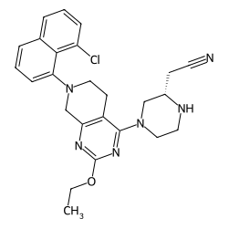 CCOc1nc2c(c(N3CCN[C@@H](CC#N)C3)n1)CCN(c1cccc3cccc(Cl)c13)C2